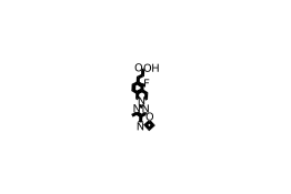 Cc1nc(N2CCc3c(ccc(CCC(=O)O)c3F)C2)nc(OC2CCC2)c1C#N